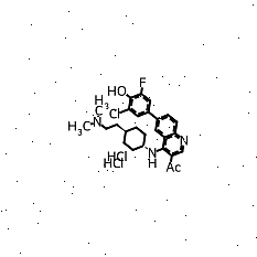 CC(=O)c1cnc2ccc(-c3cc(F)c(O)c(Cl)c3)cc2c1N[C@H]1CC[C@H](CCN(C)C)CC1.Cl.Cl